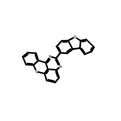 c1ccc2c(c1)Sc1cccc3nc(-c4ccc5oc6ccccc6c5c4)nc-2c13